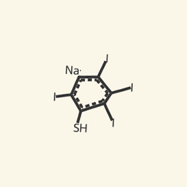 Sc1c(I)cc(I)c(I)c1I.[Na]